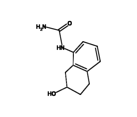 NC(=O)Nc1cccc2c1CC(O)CC2